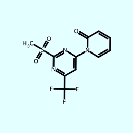 CS(=O)(=O)c1nc(-n2ccccc2=O)cc(C(F)(F)F)n1